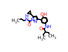 CCCNC(=O)n1nc(-c2cc(NC(=O)C(CC)CC)ccc2O)cc1C1CC1